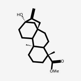 C=C1C[C@@]23CCC4[C@@](C)(CCC[C@@]4(C)C(=O)OC)C2CC[C@]1(O)C3